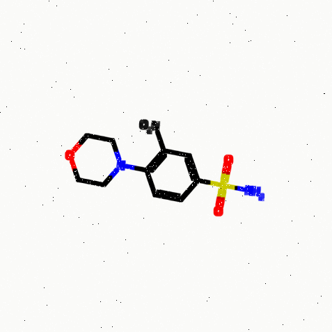 NS(=O)(=O)c1ccc(N2CCOCC2)c([N+](=O)[O-])c1